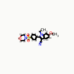 CCn1c(-c2ccc(S(=O)(=O)N3CCOCC3)cc2)c(C#N)c2ccc(OC)cc21